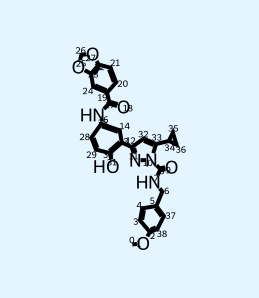 COc1ccc(CNC(=O)n2nc(-c3cc(NC(=O)c4ccc5c(c4)OCO5)ccc3O)cc2C2CC2)cc1